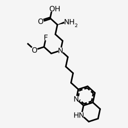 COC(F)CN(CCCCc1ccc2c(n1)NCCC2)CC[C@H](N)C(=O)O